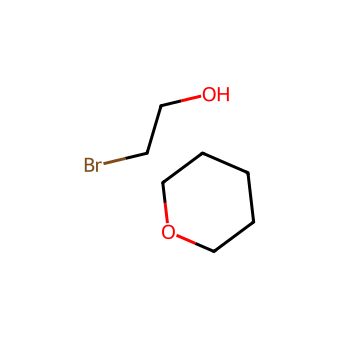 C1CCOCC1.OCCBr